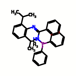 CC(C)c1cccc(C(C)C)c1/N=C(\NP(c1ccccc1)c1ccccc1)c1ccccc1